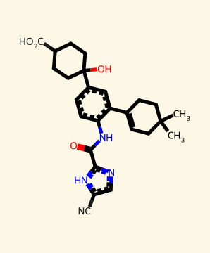 CC1(C)CC=C(c2cc(C3(O)CCC(C(=O)O)CC3)ccc2NC(=O)c2ncc(C#N)[nH]2)CC1